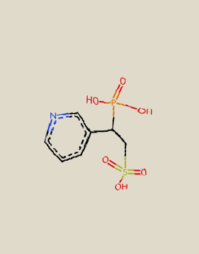 O=P(O)(O)C(CS(=O)(=O)O)c1cccnc1